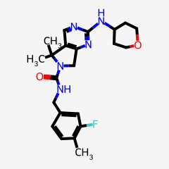 Cc1ccc(CNC(=O)N2Cc3nc(NC4CCOCC4)ncc3C2(C)C)cc1F